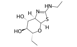 CCNC1=N[C@@H]2[C@@H](O)[C@H](O)[C@@H](CC)O[C@@H]2S1